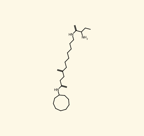 C=C(CCCCCCCNC(=C)C(N)CC)CCC(=C)NC1CCCCCCCC1